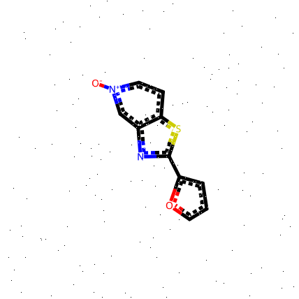 [O-][n+]1ccc2sc(-c3ccco3)nc2c1